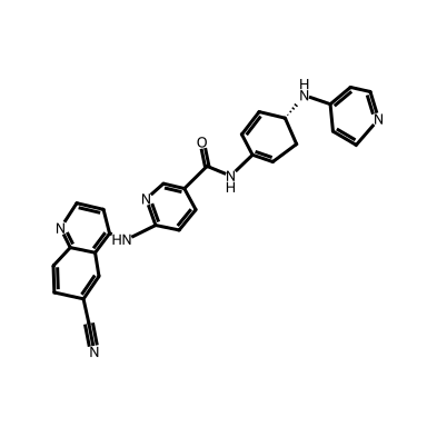 N#Cc1ccc2nccc(Nc3ccc(C(=O)NC4=CC[C@@H](Nc5ccncc5)C=C4)cn3)c2c1